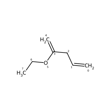 C=CCC(=C)OCC